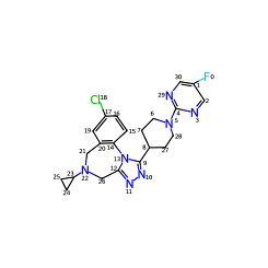 Fc1cnc(N2CCC(c3nnc4n3-c3ccc(Cl)cc3CN(C3CC3)C4)CC2)nc1